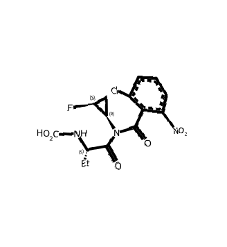 CC[C@H](NC(=O)O)C(=O)N(C(=O)c1c(Cl)cccc1[N+](=O)[O-])[C@@H]1C[C@@H]1F